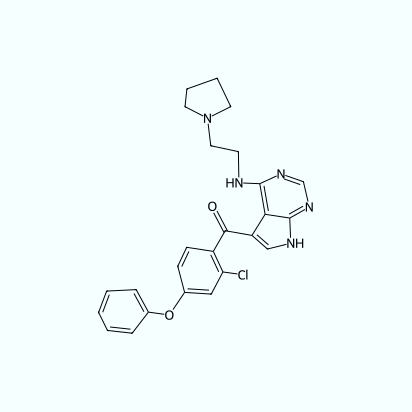 O=C(c1ccc(Oc2ccccc2)cc1Cl)c1c[nH]c2ncnc(NCCN3CCCC3)c12